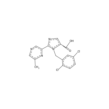 Cc1cncc(-c2ncc(C(=O)O)n2Cc2cc(Cl)ccc2Cl)n1